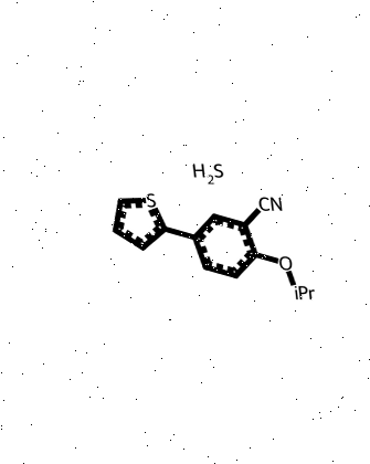 CC(C)Oc1ccc(-c2cccs2)cc1C#N.S